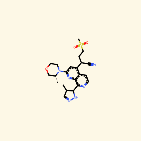 CC1C=NNC1c1nccc2c(C(C#N)CCS(C)(=O)=O)cc(N3CCOC[C@H]3C)nc12